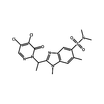 Cc1cc2c(cc1S(=O)(=O)N(C)C)nc(C(C)n1ncc(Cl)c(Cl)c1=O)n2C